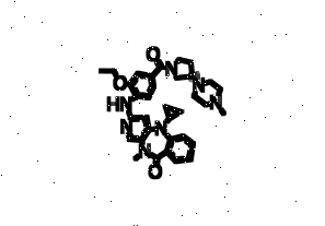 CCOc1cc(C(=O)N2CC[C@@H](N3CCN(C)CC3)C2)ccc1Nc1cc2c(cn1)N(C)C(=O)c1ccccc1N2C1CC1